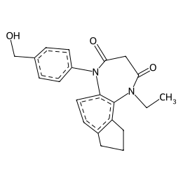 CCN1C(=O)CC(=O)N(c2ccc(CO)cc2)c2ccc3c(c21)CCC3